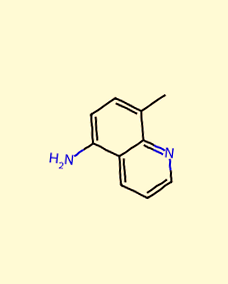 Cc1ccc(N)c2cccnc12